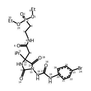 CCOP(=O)(CCNC(=O)CC1(C(C)C)NC(=O)N(NC(=O)Nc2ccc(Br)cc2)C1=O)OCC